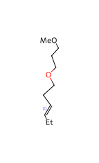 CC/C=C/CCOCCCOC